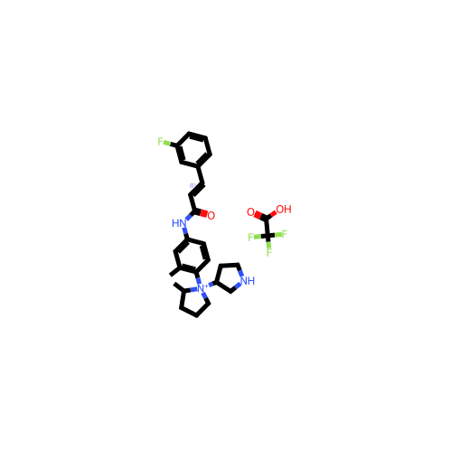 Cc1cc(NC(=O)/C=C/c2cccc(F)c2)ccc1[N+]1(C2CCNC2)CCCC1C.O=C(O)C(F)(F)F